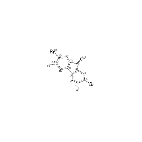 Cc1cc2c(cc1Br)C(=O)c1cc(Br)c(C)cc1-2